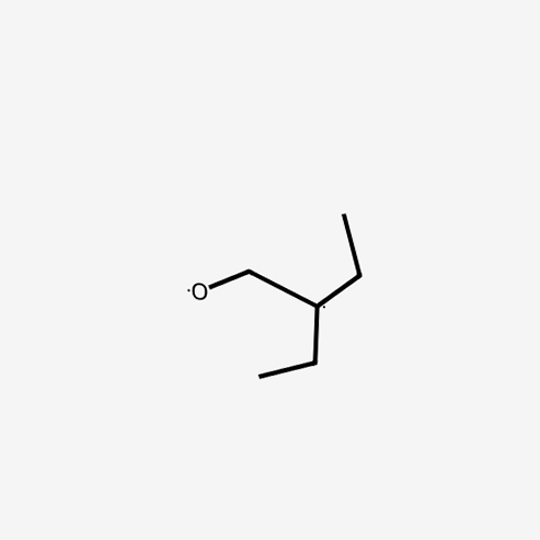 CC[C](CC)C[O]